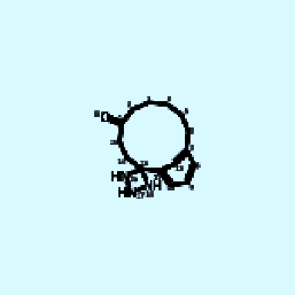 O=C1CCCCCc2cccc(c2)C2(CC1)NNN2